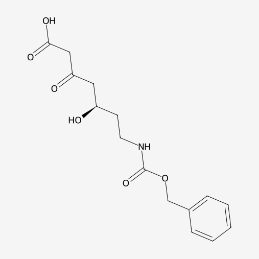 O=C(O)CC(=O)C[C@H](O)CCNC(=O)OCc1ccccc1